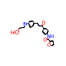 CN(CCO)c1ccc(/C=C/C(=O)c2ccc(NC(=O)c3ccco3)cc2)cc1